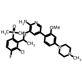 COc1cc(N2CCN(C)CC2)ccc1-c1cnc(N)c(OC(C)c2c(P(C)(C)=O)ccc(F)c2Cl)c1